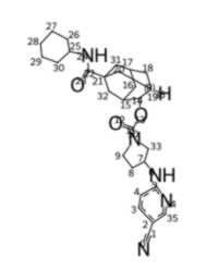 N#Cc1ccc(NC2CCN(C(=O)OC3C4CC5C[C@@H]3CC(C(=O)NC3CCCCC3)(C5)C4)C2)nc1